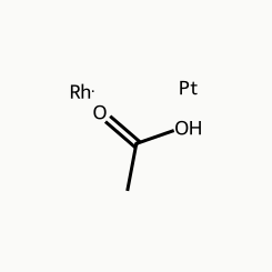 CC(=O)O.[Pt].[Rh]